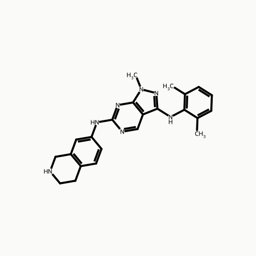 Cc1cccc(C)c1Nc1nn(C)c2nc(Nc3ccc4c(c3)CNCC4)ncc12